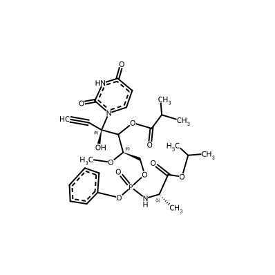 C#C[C@@](O)(C(OC(=O)C(C)C)[C@@H](COP(=O)(N[C@@H](C)C(=O)OC(C)C)Oc1ccccc1)OC)n1ccc(=O)[nH]c1=O